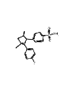 CC1=C(c2ccc(Cl)cc2)C(c2ccc(S(N)(=O)=O)cc2)C(C)C1